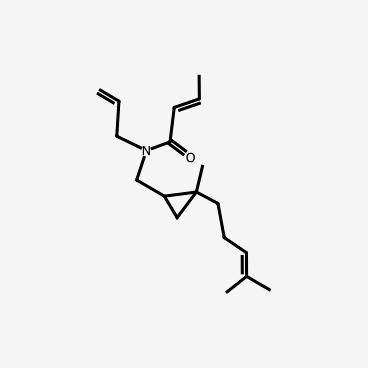 C=CCN(CC1CC1(C)CCC=C(C)C)C(=O)/C=C/C